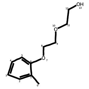 Cc1ccccc1OCCOCCO